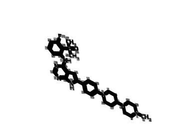 CN1CCN(C2CCN(c3ccc(-c4cc5c(Nc6cccc(F)c6P(C)(C)=O)ncnc5[nH]4)cc3)CC2)CC1